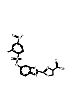 Cc1cc([N+](=O)[O-])ccc1S(=O)(=O)Oc1ccc2nc(C3=NC(C(=O)O)CS3)sc2c1